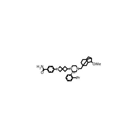 COC1C2CC3CCC(CN4CCN(C5CC6(C5)CN(c5ccc(C(N)=O)cc5)C6)[C@H](c5ccccc5C(C)C)C4)(C2)CC31